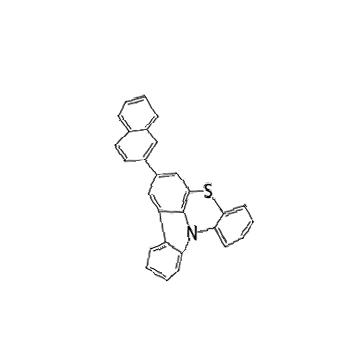 c1ccc2c(c1)Sc1cc(-c3ccc4ccccc4c3)cc3c4ccccc4n-2c13